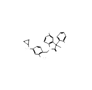 COc1cc(NC2CC2)ccc1CN1C(=O)C(C)(c2ccccc2Cl)c2cc(Cl)ccc21